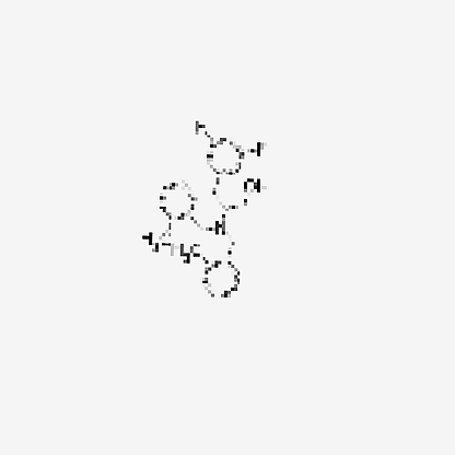 Cc1ccccc1CN(Cc1ccccc1C)C(CO)Cc1cc(F)cc(F)c1